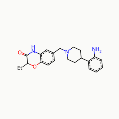 CCC1Oc2ccc(CN3CCC(c4ccccc4N)CC3)cc2NC1=O